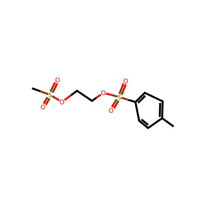 Cc1ccc(S(=O)(=O)OCCOS(C)(=O)=O)cc1